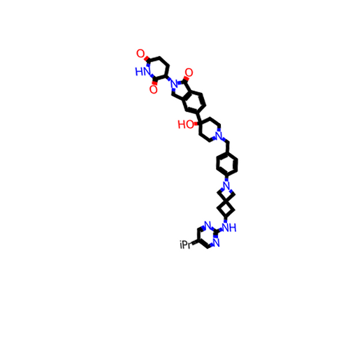 CC(C)c1cnc(NC2CC3(C2)CN(c2ccc(CN4CCC(O)(c5ccc6c(c5)CN(C5CCC(=O)NC5=O)C6=O)CC4)cc2)C3)nc1